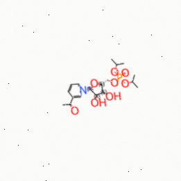 CC(=O)c1ccc[n+]([C@@H]2O[C@H](COP(=O)(OC(C)C)OC(C)C)[C@@H](O)[C@H]2O)c1